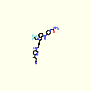 CC(CC#N)c1ccc(NCC#Cc2cc3c(NC4CCN(CC(N)=O)CC4)cccc3n2CC(F)(F)F)cn1